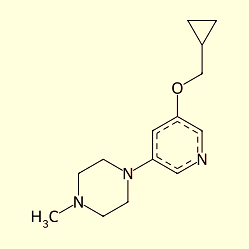 CN1CCN(c2cncc(OCC3CC3)c2)CC1